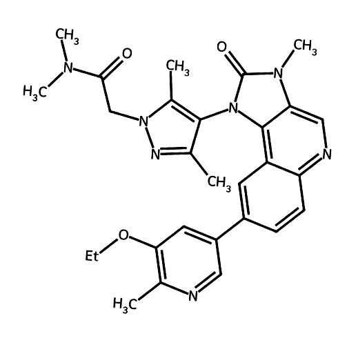 CCOc1cc(-c2ccc3ncc4c(c3c2)n(-c2c(C)nn(CC(=O)N(C)C)c2C)c(=O)n4C)cnc1C